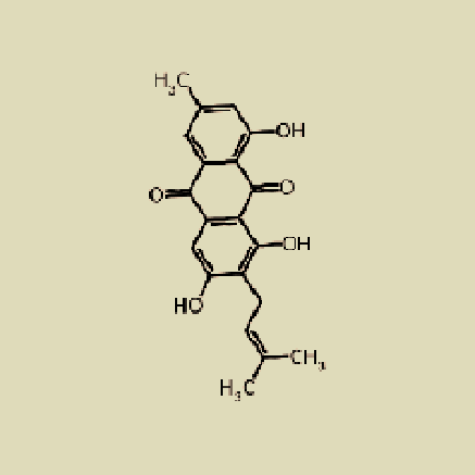 CC(C)=CCc1c(O)cc2c(c1O)C(=O)c1c(O)cc(C)cc1C2=O